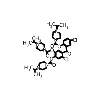 CC(C)N1CCN(C(=O)Oc2cc(Cl)c(C(=O)c3cc(Cl)ccc3OC(=O)N3CCN(C(C)C)CC3)cc2OC(=O)N2CCN(C(C)C)CC2)CC1